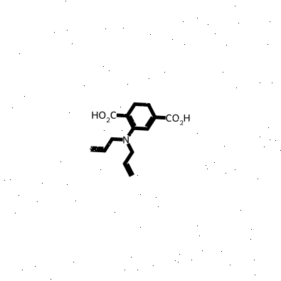 C=CCN(CC=C)C1=C(C(=O)O)CCC(C(=O)O)=C1